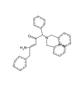 NC(=CC(=O)C(c1ccccc1)N(Cc1ccccc1)Cc1ccccc1)Cc1ccccc1